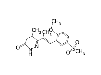 COc1ccc(S(C)(=O)=O)cc1C=C(C)C1=NNC(=O)CC1C